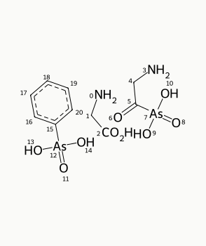 NCC(=O)O.NCC(=O)[As](=O)(O)O.O=[As](O)(O)c1ccccc1